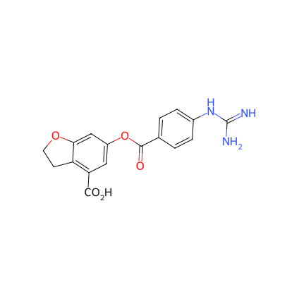 N=C(N)Nc1ccc(C(=O)Oc2cc3c(c(C(=O)O)c2)CCO3)cc1